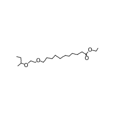 CCOC(=O)CCCCCCCCCCOCCOC(C)CC